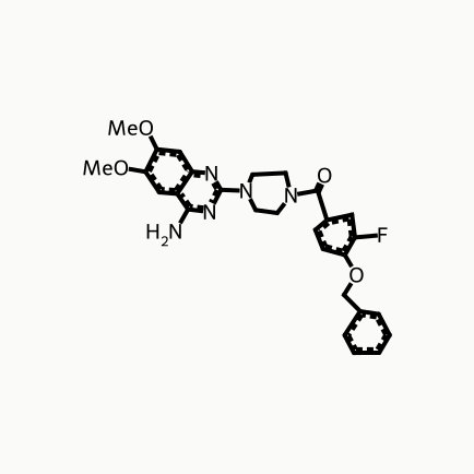 COc1cc2nc(N3CCN(C(=O)c4ccc(OCc5ccccc5)c(F)c4)CC3)nc(N)c2cc1OC